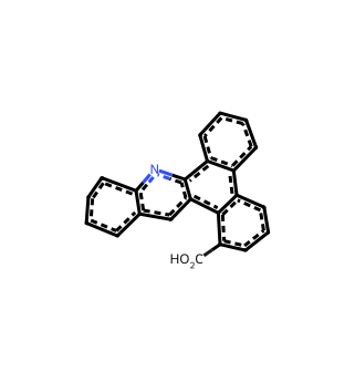 O=C(O)c1cccc2c3ccccc3c3nc4ccccc4cc3c12